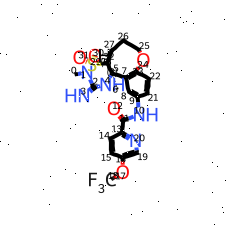 CN1C(=N)N[C@]2(C)c3cc(NC(=O)c4ccc(OC(F)(F)F)cn4)ccc3OCCC[C@@H]2S1(=O)=O